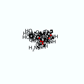 CC(=O)NC1[C@@H](OC(C)[C@H](N)C(=O)NC(C(=O)N2CCC[C@H]2C(=O)NC(C)C(=O)N[C@@H](C)C(=O)NC(C(=O)N[C@H](C(=O)NC(C(=O)N[C@@H](C)C(N)=O)C(C)C)C(C)C)C(C)C)C(C)C)OC(CO)[C@H](O)[C@@H]1O[C@@H]1OC(CO)[C@H](O)C(O)[C@@H]1O